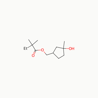 CCC(C)(C)C(=O)OCC1CCC(C)(O)C1